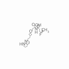 CC[C@H](CC(F)F)C(=O)N[C@@H](CCOC1CC(CCc2ccc3c(n2)NCCC3)C1)C(=O)O